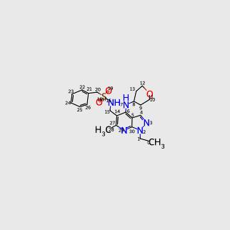 CCn1ncc2c(NC3CCOCC3)c(CNS(=O)(=O)Cc3ccccc3)c(C)nc21